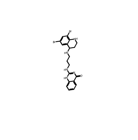 O=c1nc(NCCCNC2CCNc3c(Br)cc(Br)cc32)[nH]c2ccccc12